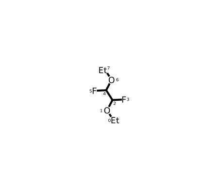 CCOC(F)C(F)OCC